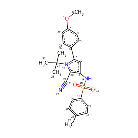 COc1ccc(-c2cc(NS(=O)(=O)c3ccc(C)cc3)c(C#N)n2C(C)(C)C)cc1